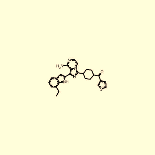 CCc1cccc2cc(-c3nc(C4CCC(C(=O)c5ccsc5)CC4)n4ccnc(N)c34)[nH]c12